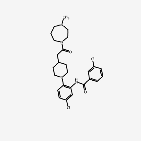 CN1CCCN(C(=O)CC2CCN(c3ccc(Cl)cc3NC(=O)c3cccc(Cl)c3)CC2)CC1